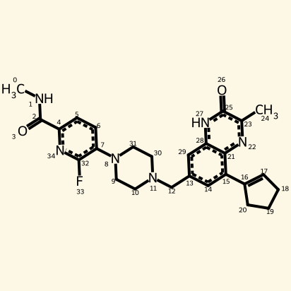 CNC(=O)c1ccc(N2CCN(Cc3cc(C4=CCCC4)c4nc(C)c(=O)[nH]c4c3)CC2)c(F)n1